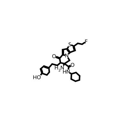 NC1(C(=O)NC2CCCCC2)Cn2c(cc3sc(CCF)cc32)C(=O)C1CCC1=CC=C(O)CC1